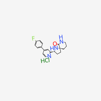 Cl.O=C1NCCC[C@]12CC[C@@H](c1cc(-c3ccc(F)cc3)ccn1)N2